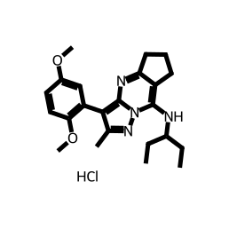 CCC(CC)Nc1c2c(nc3c(-c4cc(OC)ccc4OC)c(C)nn13)CCC2.Cl